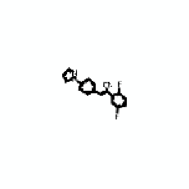 N#C/C(=C\c1ccc(-n2cccn2)cc1)c1cc(F)ccc1F